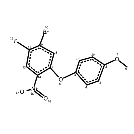 COc1ccc(Oc2cc(Br)c(F)cc2[N+](=O)[O-])cc1